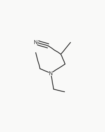 CCN(CC)CC(C)C#N